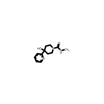 CNC(=O)N1CCC(O)(c2ccccn2)CC1